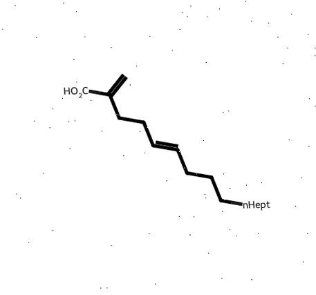 C=C(CCC=CCCCCCCCCCC)C(=O)O